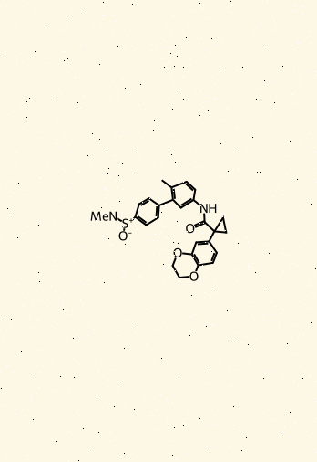 CN[S+]([O-])c1ccc(-c2cc(NC(=O)C3(c4ccc5c(c4)OCCO5)CC3)ccc2C)cc1